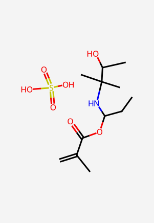 C=C(C)C(=O)OC(CC)NC(C)(C)C(C)O.O=S(=O)(O)O